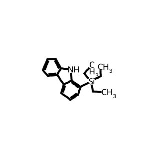 CC[Si](CC)(CC)c1cccc2c1[nH]c1ccccc12